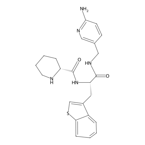 Nc1ccc(CNC(=O)[C@H](Cc2csc3ccccc23)NC(=O)[C@H]2CCCCN2)cn1